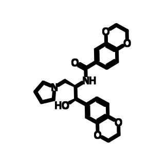 O=C(N[C@H](CN1CCCC1)[C@H](O)c1ccc2c(c1)OCCO2)c1ccc2c(c1)OCCO2